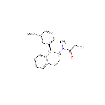 COc1cccc([C@@H]2c3ccccc3CC[C@H]2N(C)C(=O)CCl)c1